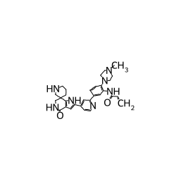 C=CC(=O)Nc1cc(-c2cc(-c3cc4c([nH]3)C3(CCCNC3)CNC4=O)ccn2)ccc1N1CCN(C)CC1